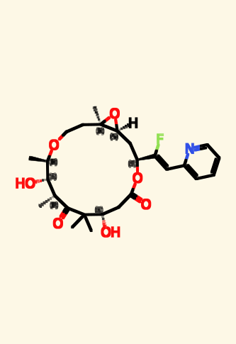 C[C@H]1OCC[C@@]2(C)O[C@H]2C[C@@H](C(F)=Cc2ccccn2)OC(=O)C[C@H](O)C(C)(C)C(=O)[C@H](C)[C@@H]1O